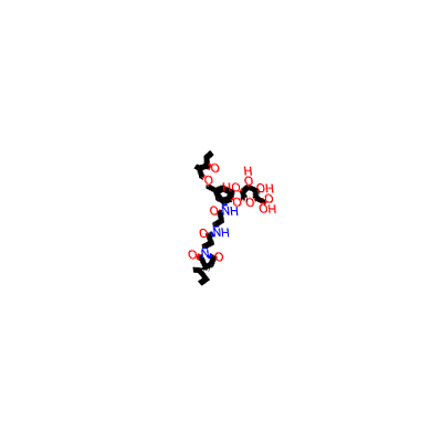 CCC(=O)C(C)COCc1ccc(O[C@@H]2OC(C(=O)O)[C@@H](O)C(O)C2O)c(NC(=O)CCNC(=O)CCN2C(=O)C[C@@H](C(C)CC)C2=O)c1